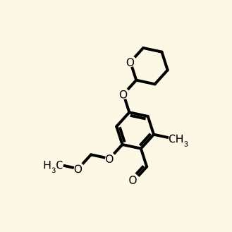 COCOc1cc(OC2CCCCO2)cc(C)c1C=O